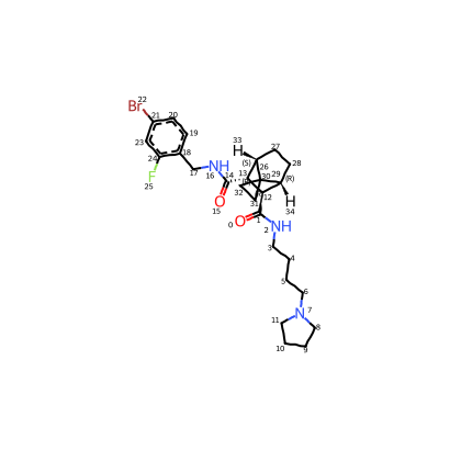 O=C(NCCCCN1CCCC1)[C@H]1[C@H](C(=O)NCc2ccc(Br)cc2F)[C@@H]2CC[C@H]1C21CC1